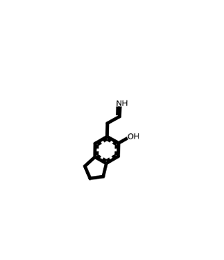 N=CCc1cc2c(cc1O)CCC2